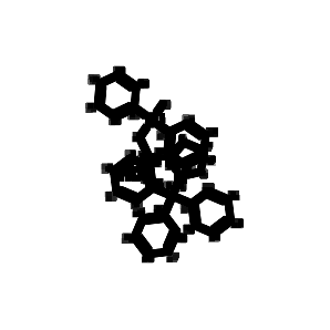 C[Si](CC(O)[C@@H]1CCCN1C(c1ccccc1)(c1ccccc1)c1ccccc1)(c1ccccc1)c1ccccc1